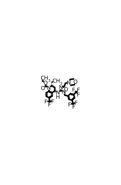 CCOC(=O)N1c2ccc(C(F)(F)F)cc2[C@@H](NC2N=C(CN3CCOCC3)ON2Cc2cc(C(F)(F)F)cc(C(F)(F)F)c2)C[C@H]1CC